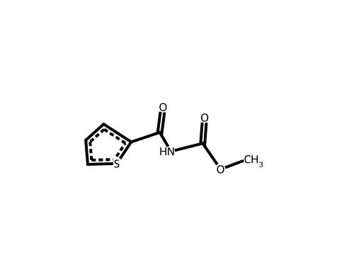 COC(=O)NC(=O)c1cccs1